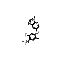 Cc1cc(N)c(F)cc1Oc1cnc2c(c1)ncn2C